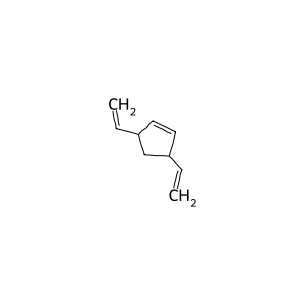 C=CC1C=CC(C=C)C1